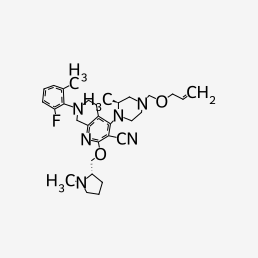 C=CCOCN1CCN(c2c(C#N)c(OC[C@@H]3CCCN3C)nc3c2CCN(c2c(C)cccc2F)C3)[C@@H](C)C1